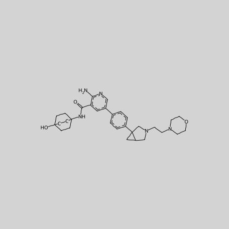 Nc1ncc(-c2ccc(C34CC3CN(CCN3CCOCC3)C4)cc2)cc1C(=O)NC12CCC(O)(CC1)CC2